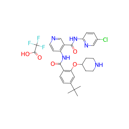 CC(C)(C)c1ccc(C(=O)Nc2ccncc2C(=O)Nc2ccc(Cl)cn2)c(OC2CCNCC2)c1.O=C(O)C(F)(F)F